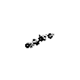 CCc1cc(-c2ccc3c(NS(=O)(=O)c4ccccc4)ncnn23)cc2cnc(N[C@H]3CCCNC3)nc12